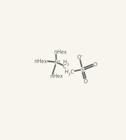 CCCCCC[N+](C)(CCCCCC)CCCCCC.CS(=O)(=O)[O-]